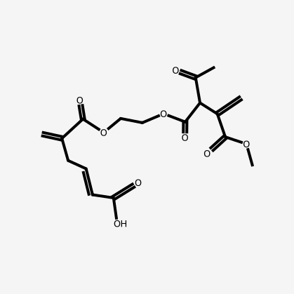 C=C(CC=CC(=O)O)C(=O)OCCOC(=O)C(C(=C)C(=O)OC)C(C)=O